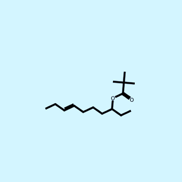 CCC=CCCCC(CC)OC(=O)C(C)(C)C